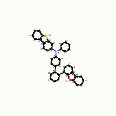 c1ccc(N(c2ccc(-c3ccccc3-c3cccc4c3oc3ccccc34)cc2)c2ccc3c(c2)sc2ccccc23)cc1